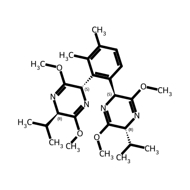 COC1=N[C@H](C(C)C)C(OC)=N[C@H]1c1ccc(C)c(C)c1[C@@H]1N=C(OC)[C@@H](C(C)C)N=C1OC